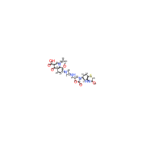 COc1c(N2CC(NCC3CN(c4ccc5c(c4)NC(=O)CS5)C(=O)O3)C2)ccc2c(=O)c(C(=O)O)cn(C3CC3)c12